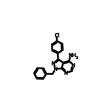 Nc1ncnc2c1c(-c1ccc(Cl)cc1)nn2Cc1ccccc1